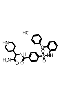 Cl.NC(=O)C(NC(=O)c1ccc(S(=O)(=O)Nc2ccccc2Oc2ccccc2)cc1)C1CCNCC1